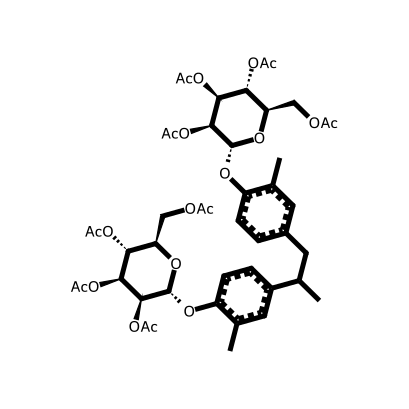 CC(=O)OC[C@H]1O[C@H](Oc2ccc(CC(C)c3ccc(O[C@H]4O[C@H](COC(C)=O)[C@@H](OC(C)=O)[C@H](OC(C)=O)[C@@H]4OC(C)=O)c(C)c3)cc2C)[C@@H](OC(C)=O)[C@@H](OC(C)=O)[C@@H]1OC(C)=O